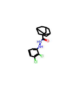 O=C(NNc1cccc(Cl)c1Cl)C12CC3CC(CC(C3)C1)C2